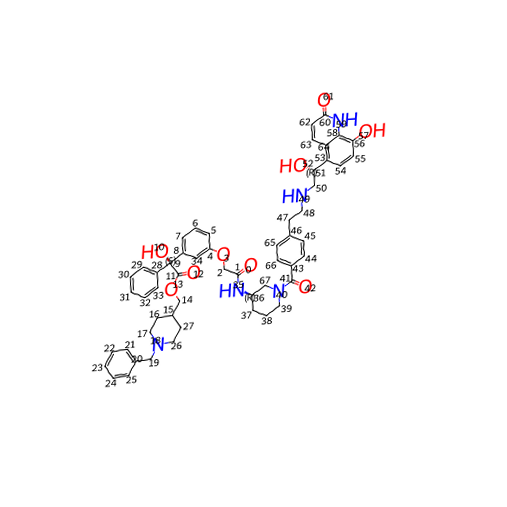 O=C(COc1cccc([C@](O)(C(=O)OCC2CCN(Cc3ccccc3)CC2)c2ccccc2)c1)N[C@@H]1CCCN(C(=O)c2ccc(CCNC[C@H](O)c3ccc(O)c4[nH]c(=O)ccc34)cc2)C1